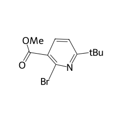 COC(=O)c1ccc(C(C)(C)C)nc1Br